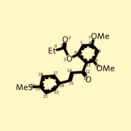 CCC(=O)Oc1cc(OC)cc(OC)c1C(=O)C=Cc1ccc(SC)cc1